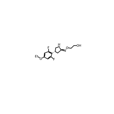 CCOc1cc(F)c([C@@H]2CN/C(=N\OCCO)C2)c(F)c1